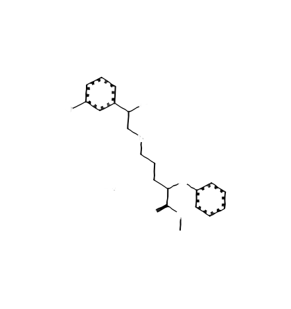 Br.COC(=O)C(CCCNCC(O)c1cccc(Cl)c1)Oc1ccccc1